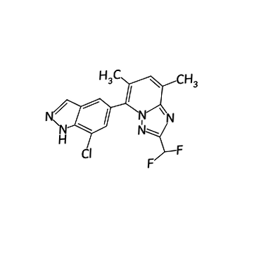 Cc1cc(C)c2nc(C(F)F)nn2c1-c1cc(Cl)c2[nH]ncc2c1